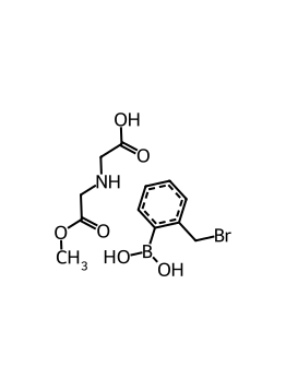 COC(=O)CNCC(=O)O.OB(O)c1ccccc1CBr